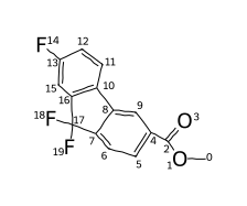 COC(=O)c1ccc2c(c1)-c1ccc(F)cc1C2(F)F